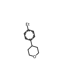 CCc1ccc(C2CCOCC2)cc1